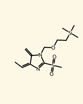 C=c1/c(=C\C)nc(S(C)(=O)=O)n1COCC[Si](C)(C)C